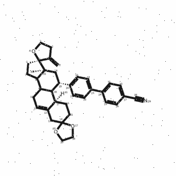 C=C1CCO[C@@]12CCC1C3CC=C4CC5(CC[C@@H]4C3[C@@H](c3ccc(-c4ccc(C#N)cc4)cc3)C[C@@]12C)OCCO5